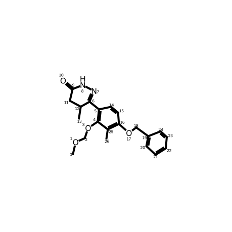 COCOc1c(C2=NNC(=O)CC2C)ccc(OCc2ccccc2)c1C